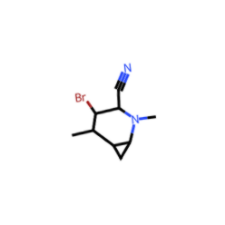 CC1C(Br)C(C#N)N(C)C2CC12